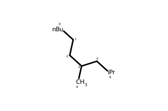 [CH2]CCCCCC(C)CC(C)C